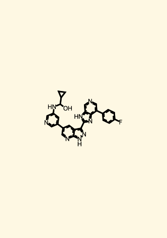 OC(Nc1cncc(-c2cnc3[nH]nc(-c4nc5c(-c6ccc(F)cc6)cncc5[nH]4)c3c2)c1)C1CC1